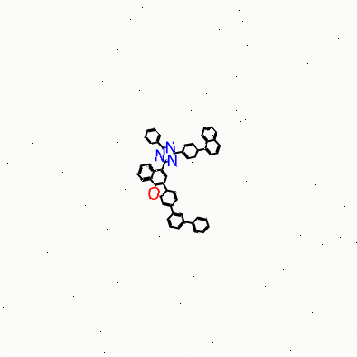 C1=CC2c3cc(-c4nc(C5=CCC(c6cccc7ccccc67)C=C5)nc(-c5ccccc5)n4)c4ccccc4c3OC2C=C1c1cccc(-c2ccccc2)c1